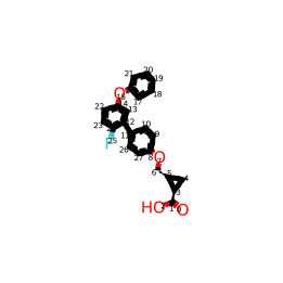 O=C(O)[C@@H]1C[C@H]1COc1ccc(-c2cc(Oc3ccccc3)ccc2F)cc1